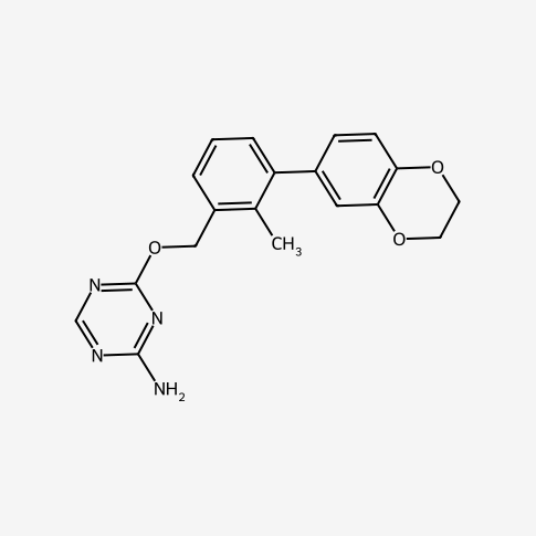 Cc1c(COc2ncnc(N)n2)cccc1-c1ccc2c(c1)OCCO2